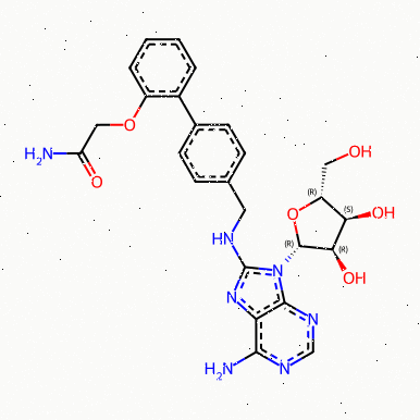 NC(=O)COc1ccccc1-c1ccc(CNc2nc3c(N)ncnc3n2[C@@H]2O[C@H](CO)[C@@H](O)[C@H]2O)cc1